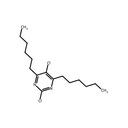 CCCCCCc1nc(Cl)nc(CCCCCC)c1Cl